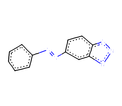 c1ccc(/N=N/c2ccc3[nH]nnc3c2)cc1